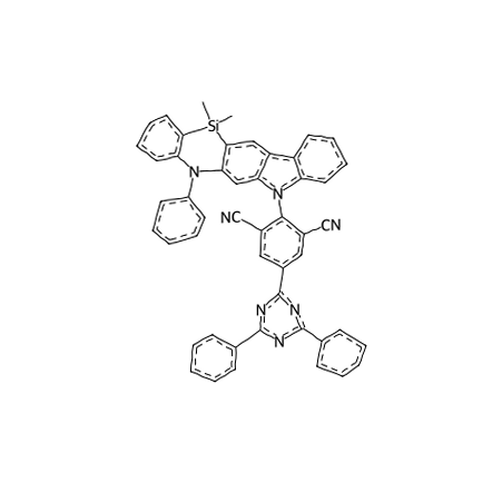 C[Si]1(C)c2ccccc2N(c2ccccc2)c2cc3c(cc21)c1ccccc1n3-c1c(C#N)cc(-c2nc(-c3ccccc3)nc(-c3ccccc3)n2)cc1C#N